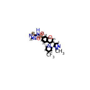 Cn1nccc1[C@@H]1C[C@H](C(F)(F)F)CCN1[C@H]1CCOc2cc(S(=O)(=O)Nc3ncns3)ccc21